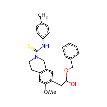 COc1cc2c(cc1CC(O)OCc1ccccc1)CN(C(=S)Nc1ccc(C)cc1)CC2